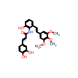 COc1cc(/C=C/c2cccc(O)c2NC(=O)/C=C/c2ccc(O)c(O)c2)cc(OC)c1OC